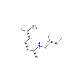 B/C(C)=C/C=C\C(=C)NC/C(C)=C/C